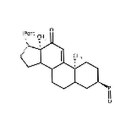 CCC[C@@H](C)[C@H]1CCC2C3CCC4C[C@H](P=O)CC[C@]4(C)C3=CC(=O)[C@@]21C